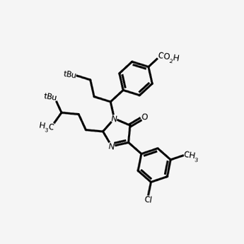 Cc1cc(Cl)cc(C2=NC(CCC(C)C(C)(C)C)N(C(CCC(C)(C)C)c3ccc(C(=O)O)cc3)C2=O)c1